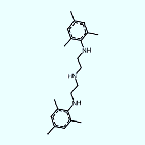 Cc1cc(C)c(NCCNCCNc2c(C)cc(C)cc2C)c(C)c1